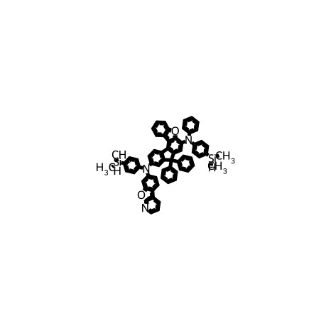 C[SiH](C)c1ccc(N(c2ccc3c(c2)C(c2ccccc2)(c2ccccc2)c2cc(N(c4ccccc4)c4ccc([SiH](C)C)cc4)c4oc5ccccc5c4c2-3)c2ccc3c(c2)oc2ncccc23)cc1